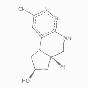 CC[C@]12CNc3nnc(Cl)cc3N1C[C@H](O)C2